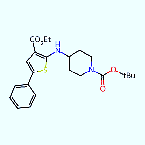 CCOC(=O)c1cc(-c2ccccc2)sc1NC1CCN(C(=O)OC(C)(C)C)CC1